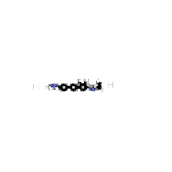 C=C(C)C(=O)O/C=C\Oc1ccc(-c2ccc(-c3ccc(O/C=C\OC)cc3)cc2)c(F)c1F